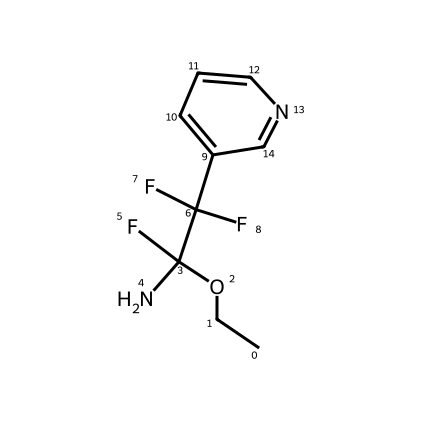 CCOC(N)(F)C(F)(F)c1cccnc1